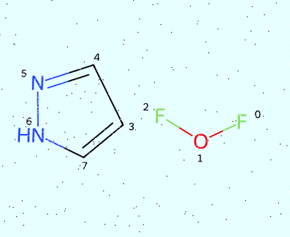 FOF.c1cn[nH]c1